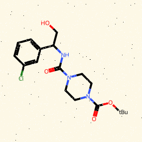 CC(C)(C)OC(=O)N1CCN(C(=O)NC(CO)c2cccc(Cl)c2)CC1